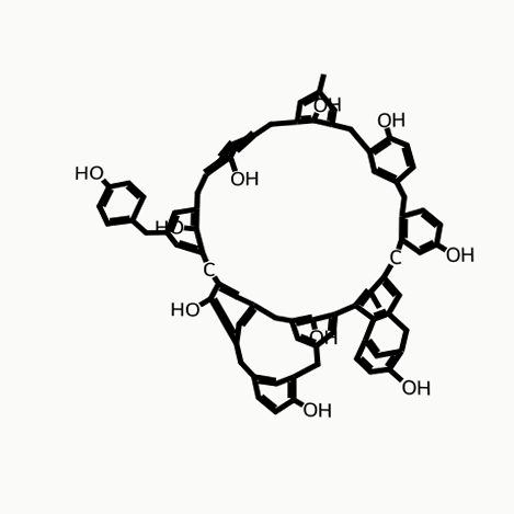 Cc1cc2c(O)c(c1)Cc1cc(ccc1O)Cc1ccc(O)cc1Cc1cc3c(c(c1C)-c1cc4cc(c1O)Cc1cc(c(O)c(c1)Cc1cc(Cc5ccc(O)cc5)cc(c1O)Cc1ccc(cc1O)C2)Cc1ccc(O)c(c1)C4)-c1ccc(O)c(c1)C3